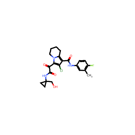 Cc1cc(NC(=O)c2c(Cl)c(C(=O)C(=O)NC3(CO)CC3)n3c2CCCC3)ccc1F